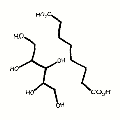 O=C(O)CCCCCCC(=O)O.OCC(O)C(O)C(O)CO